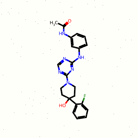 CC(=O)Nc1cccc(Nc2ncnc(N3CCC(O)(c4ccccc4F)CC3)n2)c1